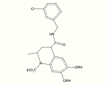 CCOC(=O)N1c2cc(OC)c(OC)cc2C(C(=O)NCc2cccc(Cl)c2)CC1C